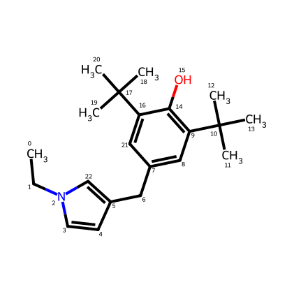 CCn1ccc(Cc2cc(C(C)(C)C)c(O)c(C(C)(C)C)c2)c1